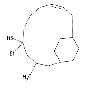 CCC1(S)CCCC=CCC2CCC(CC2)CC(C)C1